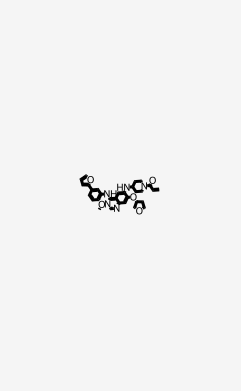 C=CC(=O)N1CCC(Nc2cc3c(Nc4cc(-c5ccco5)ccc4OC)ncnc3cc2OC2CCOC2)CC1